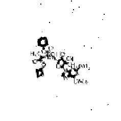 COc1nc(N)nc2c1ncn2[C@@H]1O[C@H](COP(=O)(N[C@@H](C)C(=O)OC2CCC2)Oc2ccccc2)[C@@H](O)[C@@]1(C)C#N